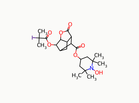 CC(C)(I)C(=O)OC1C2CC3C1OC(=O)C3C2C(=O)OC1CC(C)(C)N(O)C(C)(C)C1